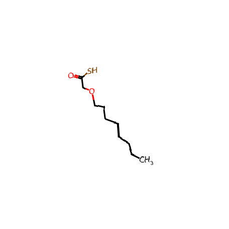 CCCCCCCCOCC(=O)S